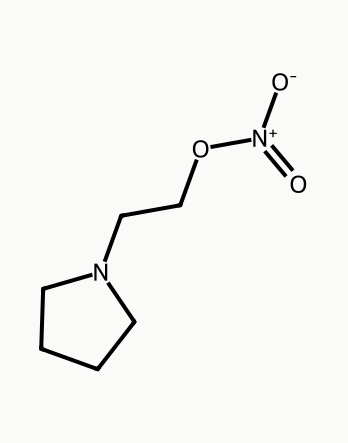 O=[N+]([O-])OCCN1CCCC1